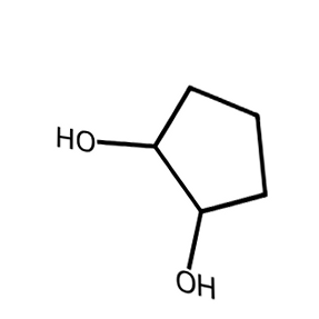 OC1CCCC1O